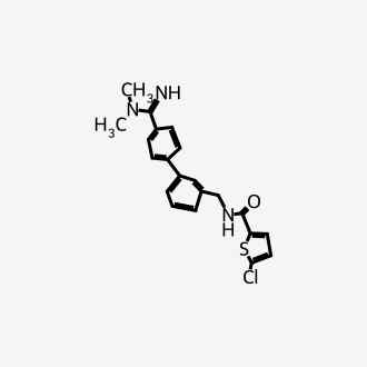 CN(C)C(=N)c1ccc(-c2cccc(CNC(=O)c3ccc(Cl)s3)c2)cc1